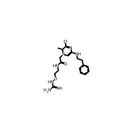 CC1C(Cl)=NC(NCCc2ccccc2)=CN1CC(=O)NCCONC(=N)N